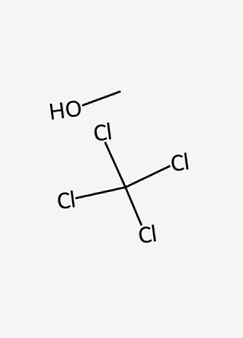 CO.ClC(Cl)(Cl)Cl